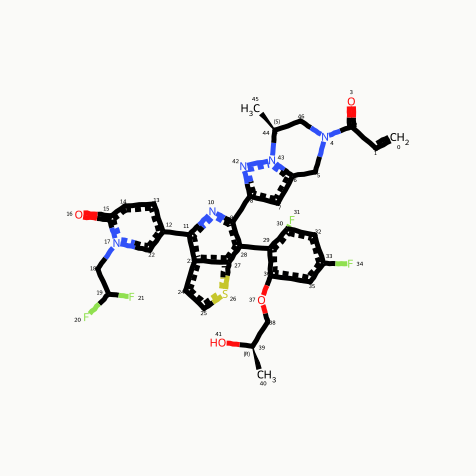 C=CC(=O)N1Cc2cc(-c3nc(-c4ccc(=O)n(CC(F)F)c4)c4ccsc4c3-c3c(F)cc(F)cc3OC[C@@H](C)O)nn2[C@@H](C)C1